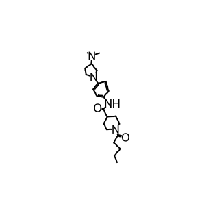 CCCCC(=O)N1CCC(C(=O)Nc2ccc(N3CCC(N(C)C)C3)cc2)CC1